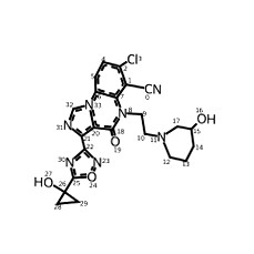 N#Cc1c(Cl)ccc2c1n(CCN1CCCC(O)C1)c(=O)c1c(-c3noc(C4(O)CC4)n3)ncn12